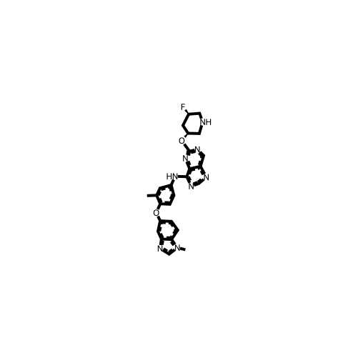 Cc1cc(Nc2ncnc3cnc(O[C@@H]4CNC[C@H](F)C4)nc23)ccc1Oc1ccc2c(c1)ncn2C